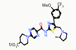 CCOC(=O)C1CCN(c2cnc(C(=O)Nc3nc(-c4ccc(C(F)(F)F)c(OC)c4)c(CN4CCC[C@H]4C)s3)cn2)CC1